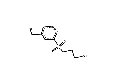 NCc1ccnc(S(=O)(=O)CCCO)c1